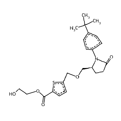 CC(C)(C)c1ccc(N2C(=O)CC[C@H]2COCc2ccc(C(=O)OCCO)s2)cc1